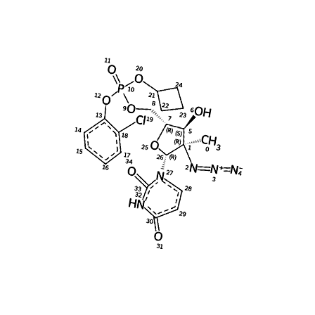 C[C@@]1(N=[N+]=[N-])[C@H](O)[C@@H](COP(=O)(Oc2ccccc2Cl)OC2CCC2)O[C@H]1n1ccc(=O)[nH]c1=O